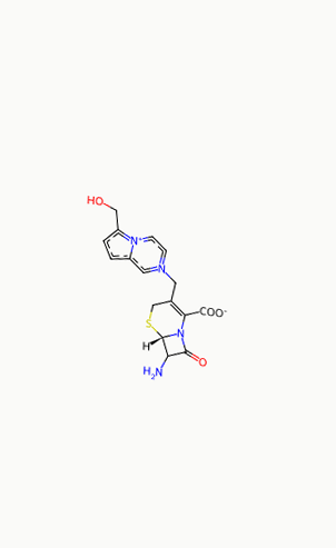 NC1C(=O)N2C(C(=O)[O-])=C(Cn3cc[n+]4c(CO)ccc-4c3)CS[C@@H]12